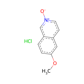 COc1ccc2c[n+]([O-])ccc2c1.Cl